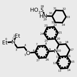 CCN(CC)CCOc1ccc(N2c3ccccc3CCC2c2ccccc2)cc1.O=S(=O)(O)NC1CCCCC1